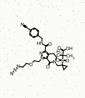 CC(C)(C(=O)O)S(=O)(=O)C1(CN2CCc3c(C(=O)NCc4ccc(C#N)cc4)nn(CCOCCN=[N+]=[N-])c3C2=O)CC1